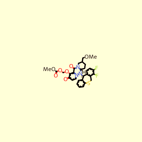 COCC1CC[C@@H]2N(C1)C(=O)c1c(OCOC(=O)OC)c(=O)ccn1N2[C@@H]1c2ccccc2SCc2c1ccc(F)c2F